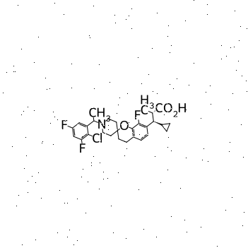 CC(c1cc(F)cc(F)c1Cl)N1CCC2(CCc3ccc([C@H](C4CC4)[C@H](C)C(=O)O)c(F)c3O2)CC1